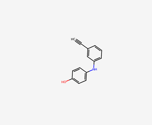 C#Cc1cccc(Nc2ccc(O)cc2)c1